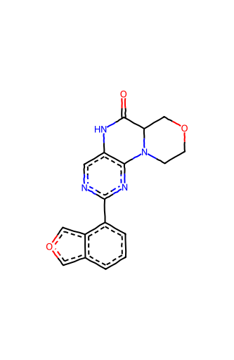 O=C1Nc2cnc(-c3cccc4cocc34)nc2N2CCOCC12